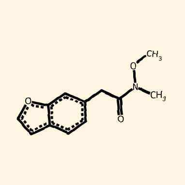 CON(C)C(=O)Cc1ccc2ccoc2c1